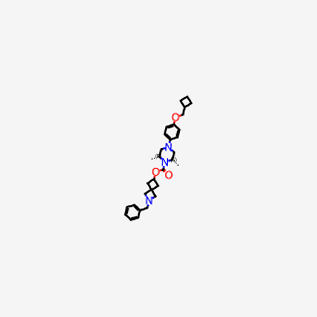 C[C@@H]1CN(c2ccc(OCC3CCC3)cc2)C[C@H](C)N1C(=O)OC1CC2(C1)CN(Cc1ccccc1)C2